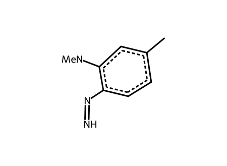 CNc1cc(C)ccc1N=N